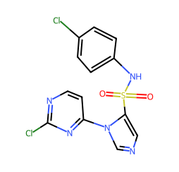 O=S(=O)(Nc1ccc(Cl)cc1)c1cncn1-c1ccnc(Cl)n1